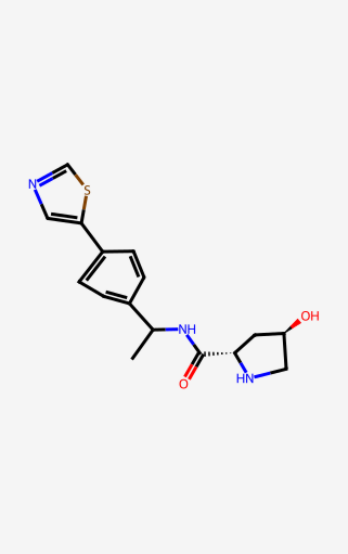 CC(NC(=O)[C@@H]1C[C@@H](O)CN1)c1ccc(-c2cncs2)cc1